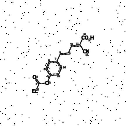 CCC(=O)Oc1ccc(/C=C/C=C(\C#N)C(=O)O)cc1